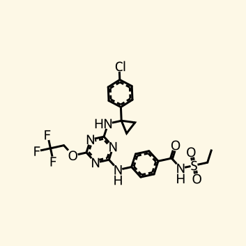 CCS(=O)(=O)NC(=O)c1ccc(Nc2nc(NC3(c4ccc(Cl)cc4)CC3)nc(OCC(F)(F)F)n2)cc1